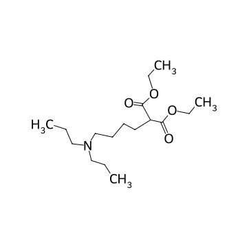 CCCN(CCC)CCCCC(C(=O)OCC)C(=O)OCC